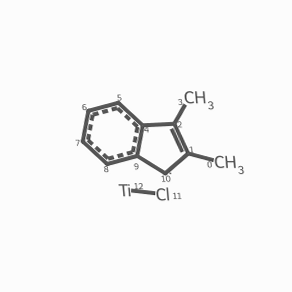 CC1=C(C)c2ccccc2[CH]1.[Cl][Ti]